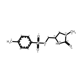 Cc1ccc(S(=O)(=O)OCC2CN(C)C(=O)N2)cc1